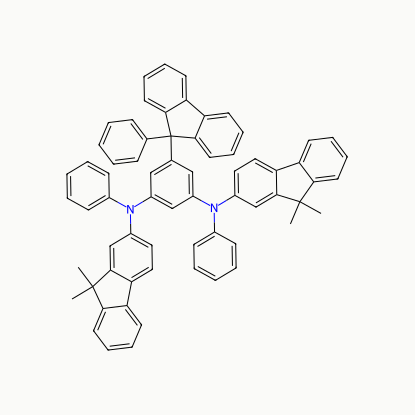 CC1(C)c2ccccc2-c2ccc(N(c3ccccc3)c3cc(N(c4ccccc4)c4ccc5c(c4)C(C)(C)c4ccccc4-5)cc(C4(c5ccccc5)c5ccccc5-c5ccccc54)c3)cc21